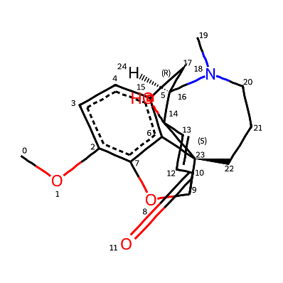 COc1ccc2c3c1OC1C(=O)C=CC4(O)[C@@H](C2)N(C)CCC[C@]314